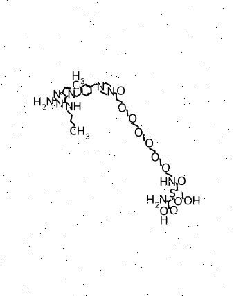 CCCCCNc1nc(N)nc2ccn(Cc3ccc(CN4CCN(C(=O)CCOCCOCCOCCOCCOCCOCCNC(=O)[C@H](CC(=O)O)SC[C@H](N)C(=O)O)CC4)cc3C)c12